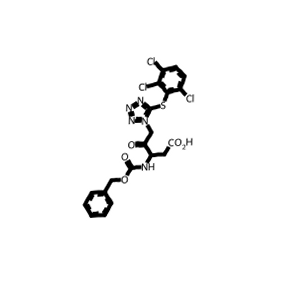 O=C(O)CC(NC(=O)OCc1ccccc1)C(=O)Cn1nnnc1Sc1c(Cl)ccc(Cl)c1Cl